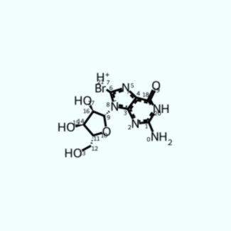 Nc1nc2c(nc(Br)n2[C@@H]2O[C@H](CO)[C@@H](O)[C@H]2O)c(=O)[nH]1.[H+]